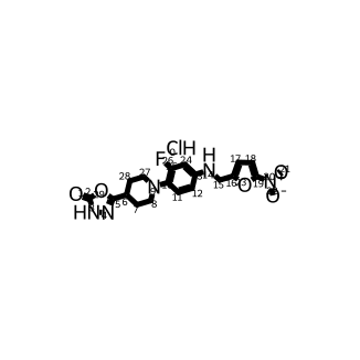 Cl.O=c1[nH]nc(C2CCN(c3ccc(NCc4ccc([N+](=O)[O-])o4)cc3F)CC2)o1